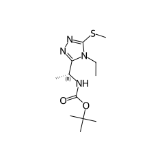 CCn1c(SC)nnc1[C@@H](C)NC(=O)OC(C)(C)C